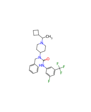 CC(C1CCC1)N1CCC(N(Cc2ccccc2)C(=O)Nc2cc(F)cc(C(F)(F)F)c2)CC1